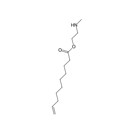 C=CCCCCCCCC(=O)OCCNC